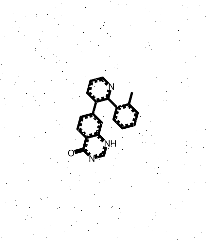 Cc1ccccc1-c1ncccc1-c1ccc2c(=O)nc[nH]c2c1